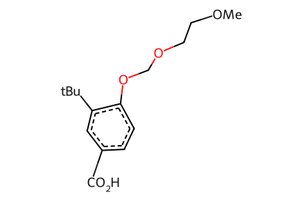 COCCOCOc1ccc(C(=O)O)cc1C(C)(C)C